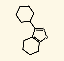 C1CCC(c2noc3c2CCCC3)CC1